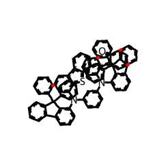 c1ccc(C2(c3ccccc3)c3ccccc3-c3cccc(N(c4cccc(N(c5cccc6c5C(c5ccccc5)(c5ccccc5)c5ccccc5-6)c5cccc6oc7ccccc7c56)c4)c4cccc5c4sc4ccccc45)c32)cc1